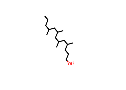 CCCC(C)CC(C)CC(C)CC(C)CCCO